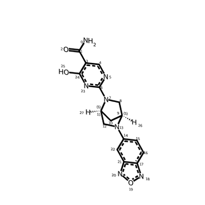 NC(=O)c1cnc(N2C[C@@H]3C[C@H]2CN3c2ccc3nonc3c2)nc1O